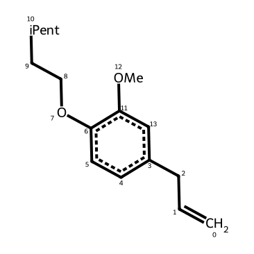 C=CCc1ccc(OCCC(C)CCC)c(OC)c1